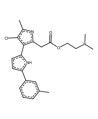 Cc1cccc(-c2ccc(-c3c(Cl)c(C)nn3CC(=O)OCCN(C)C)[nH]2)c1